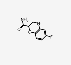 NC(=O)C1C[N]c2cc(F)ccc2O1